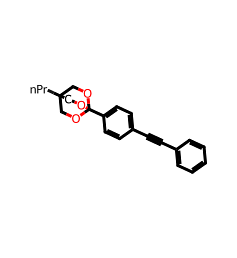 CCCC12COC(c3ccc(C#Cc4ccccc4)cc3)(OC1)OC2